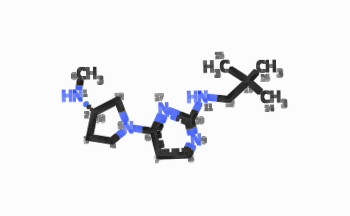 CN[C@H]1CCN(c2ccnc(NCC(C)(C)C)n2)C1